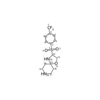 O=S(=O)(c1ccc(C(F)(F)F)cc1)C1COC2(CCNCC2)N1